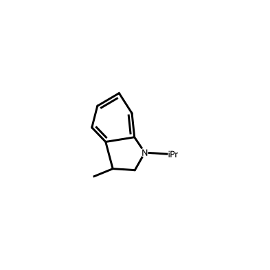 CC1CN(C(C)C)c2ccccc21